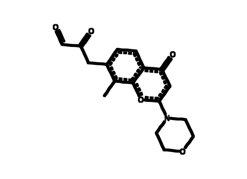 Cc1c(CC(=O)C=O)ccc2c(=O)cc(N3CCOCC3)oc12